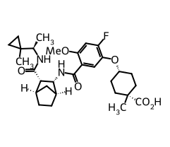 COc1cc(F)c(O[C@H]2CC[C@@](C)(C(=O)O)CC2)cc1C(=O)N[C@@H]1[C@H]2CC[C@H](C2)[C@@H]1C(=O)N[C@H](C)C1(C)CC1